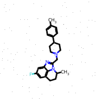 Cc1ccc(C2CCN(Cc3nc4cc(F)cc5c4n3C(C)CC5)CC2)cc1